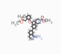 CCOC(=O)Cc1c(C)cccc1OC1CC2(CCN(C(=O)OC)CC2)c2ccc(-c3ccc4ccnc(N)c4c3)cc21